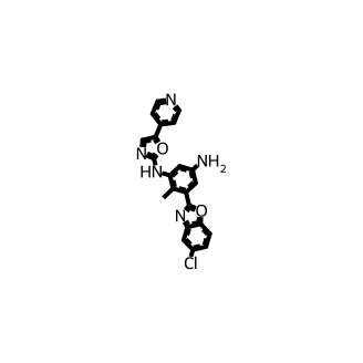 Cc1c(Nc2ncc(-c3ccncc3)o2)cc(N)cc1-c1nc2cc(Cl)ccc2o1